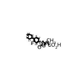 CN(C(=O)O)[C@@H]1CN(c2ccc(C3CCSCC3)c(F)c2)C(=O)O1